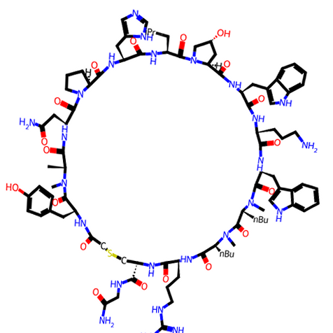 CCCC[C@H]1C(=O)N(C)[C@@H](CCCC)C(=O)N[C@@H](CCCNC(=N)N)C(=O)N[C@H](C(=O)NCC(N)=O)CSCC(=O)N[C@@H](Cc2ccc(O)cc2)C(=O)N(C)[C@@H](C)C(=O)N[C@@H](CC(N)=O)C(=O)N2CCC[C@H]2C(=O)N[C@@H](Cc2cnc[nH]2)C(=O)N[C@@H](CC(C)C)C(=O)N2C[C@H](O)C[C@H]2C(=O)N[C@@H](Cc2c[nH]c3ccccc23)C(=O)N[C@@H](CCCN)C(=O)N[C@@H](Cc2c[nH]c3ccccc23)C(=O)N1C